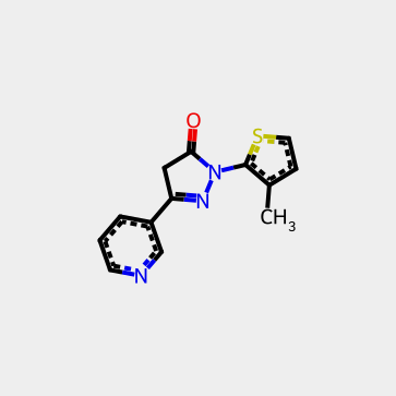 Cc1ccsc1N1N=C(c2cccnc2)CC1=O